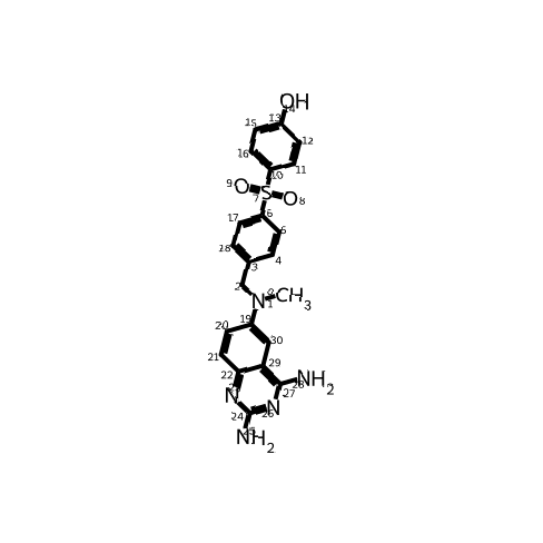 CN(Cc1ccc(S(=O)(=O)c2ccc(O)cc2)cc1)c1ccc2nc(N)nc(N)c2c1